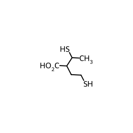 CC(S)C(CCS)C(=O)O